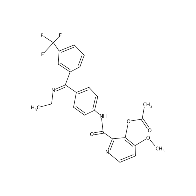 CC/N=C(\c1ccc(NC(=O)c2nccc(OC)c2OC(C)=O)cc1)c1cccc(C(F)(F)F)c1